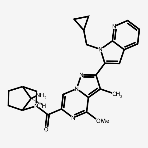 COc1nc(C(=O)N2CC3CCC2[C@@H]3N)cn2nc(-c3cc4cccnc4n3CC3CC3)c(C)c12